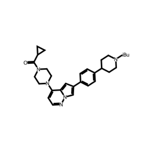 CCC(C)N1CCC(c2ccc(-c3cc4c(N5CCN(C(=O)C6CC6)CC5)ccnn4c3)cc2)CC1